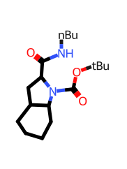 CCCCNC(=O)C1CC2CCCCC2N1C(=O)OC(C)(C)C